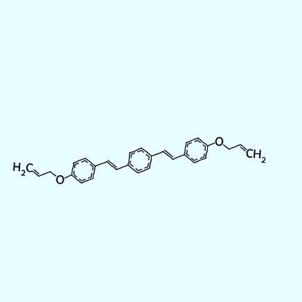 C=CCOc1ccc(C=Cc2ccc(C=Cc3ccc(OCC=C)cc3)cc2)cc1